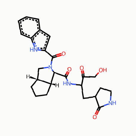 O=C1NCCC1CC(NC(=O)C1[C@@H]2CCC[C@@H]2CN1C(=O)c1cc2ccccc2[nH]1)C(=O)CO